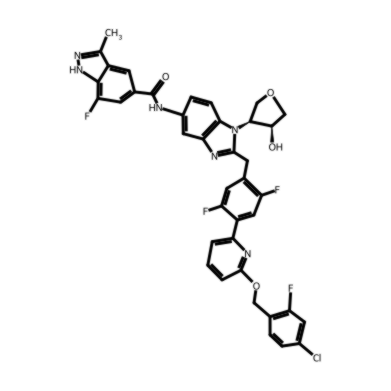 Cc1n[nH]c2c(F)cc(C(=O)Nc3ccc4c(c3)nc(Cc3cc(F)c(-c5cccc(OCc6ccc(Cl)cc6F)n5)cc3F)n4[C@H]3COC[C@H]3O)cc12